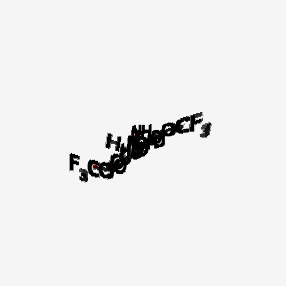 Nc1ccc(C(CC(=O)C=Cc2ccc(OC(=O)c3ccc(OCCCC(F)(F)F)cc3)cc2)C(O)(O)C(=O)C=Cc2ccc(OC(=O)c3ccc(OCCCC(F)(F)F)cc3)cc2)c(N)c1